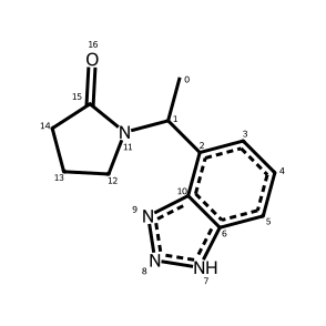 CC(c1cccc2[nH]nnc12)N1CCCC1=O